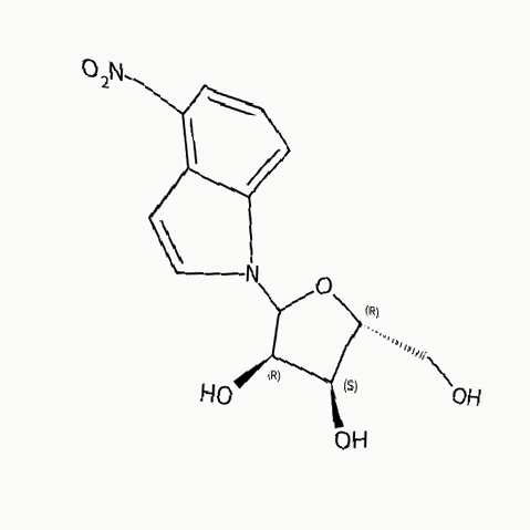 O=[N+]([O-])c1cccc2c1ccn2C1O[C@H](CO)[C@@H](O)[C@H]1O